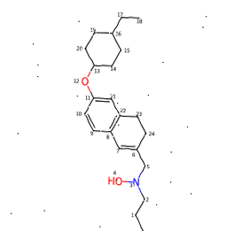 CCCN(O)CC1=Cc2ccc(OC3CCC(CC)CC3)cc2CC1